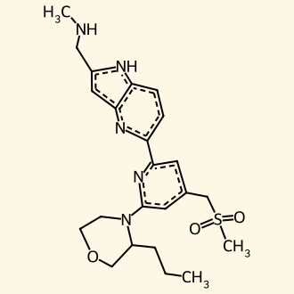 CCCC1COCCN1c1cc(CS(C)(=O)=O)cc(-c2ccc3[nH]c(CNC)cc3n2)n1